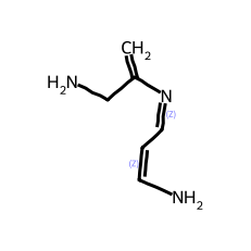 C=C(CN)/N=C\C=C/N